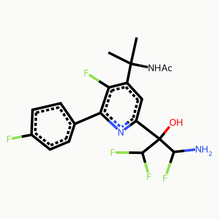 CC(=O)NC(C)(C)c1cc(C(O)(C(N)F)C(F)F)nc(-c2ccc(F)cc2)c1F